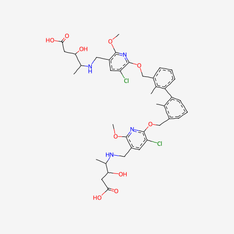 COc1nc(OCc2cccc(-c3cccc(COc4nc(OC)c(CNC(C)C(O)CC(=O)O)cc4Cl)c3C)c2C)c(Cl)cc1CNC(C)C(O)CC(=O)O